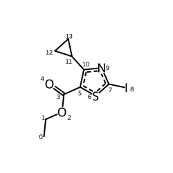 CCOC(=O)c1sc(I)nc1C1CC1